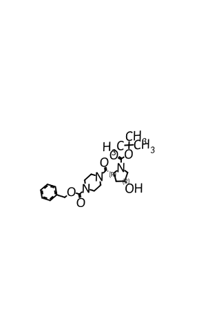 CC(C)(C)OC(=O)N1C[C@H](O)C[C@@H]1C(=O)N1CCN(C(=O)OCc2ccccc2)CC1